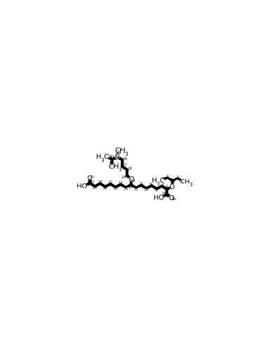 CCC(CC)OC(CCCCCCC(CCCCCCCC(=O)O)OCCCCN(C)C(C)C)C(=O)O